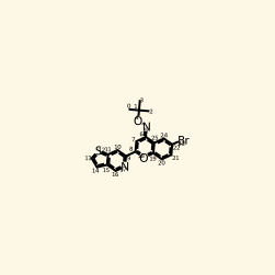 CC(C)(C)ON=c1cc(-c2cc3sccc3cn2)oc2ccc(Br)cc12